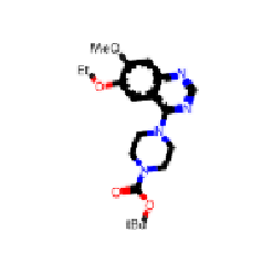 CCOc1cc2c(N3CCN(C(=O)OC(C)(C)C)CC3)ncnc2cc1OC